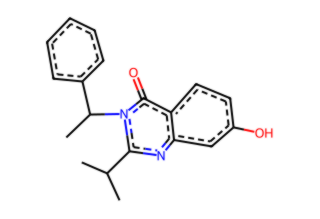 CC(C)c1nc2cc(O)ccc2c(=O)n1C(C)c1ccccc1